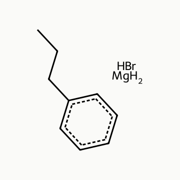 Br.CCCc1ccccc1.[MgH2]